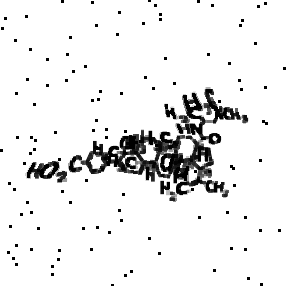 C=C(C)[C@@H]1CC[C@]2(C(=O)NC(C)CN(C)C)CC[C@]3(C)[C@H](CC[C@@H]4[C@@]5(C)CC=C(c6ccc(C(=O)O)cc6)C(C)(C)[C@@H]5CC[C@]43C)[C@@H]12